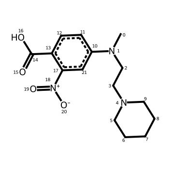 CN(CCN1CCCCC1)c1ccc(C(=O)O)c([N+](=O)[O-])c1